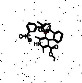 CCOC(=O)C1=C(C)NC(C)=C(C(=O)OCC)C1c1ccccc1-c1nc(-c2cccc([N+](=O)[O-])c2)cs1